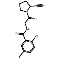 N#CC1CCCN1C(=O)CNC(=O)c1cc(I)ccc1Cl